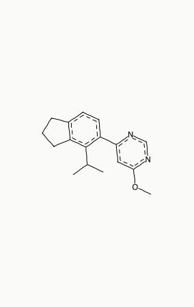 COc1cc(-c2ccc3c(c2C(C)C)CCC3)ncn1